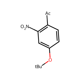 CC(=O)c1ccc(OC(C)(C)C)cc1[N+](=O)[O-]